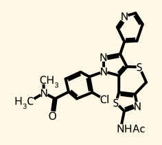 CC(=O)Nc1nc2c(s1)-c1c(c(-c3cccnc3)nn1-c1ccc(C(=O)N(C)C)cc1Cl)SC2